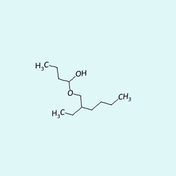 CCCCC(CC)COC(O)CCC